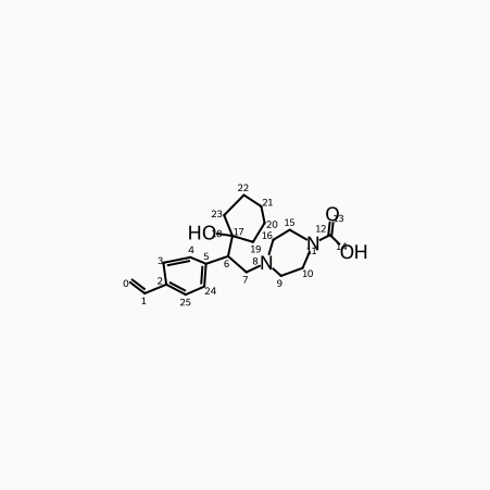 C=Cc1ccc(C(CN2CCN(C(=O)O)CC2)C2(O)CCCCC2)cc1